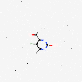 COC(=O)c1nc(O)nc(C)c1Cl